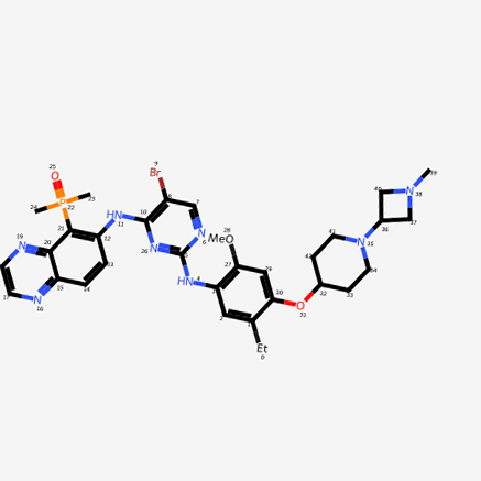 CCc1cc(Nc2ncc(Br)c(Nc3ccc4nccnc4c3P(C)(C)=O)n2)c(OC)cc1OC1CCN(C2CN(C)C2)CC1